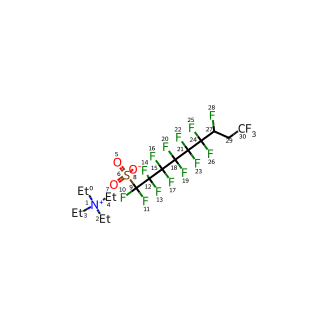 CC[N+](CC)(CC)CC.O=S(=O)([O-])C(F)(F)C(F)(F)C(F)(F)C(F)(F)C(F)(F)C(F)(F)C(F)CC(F)(F)F